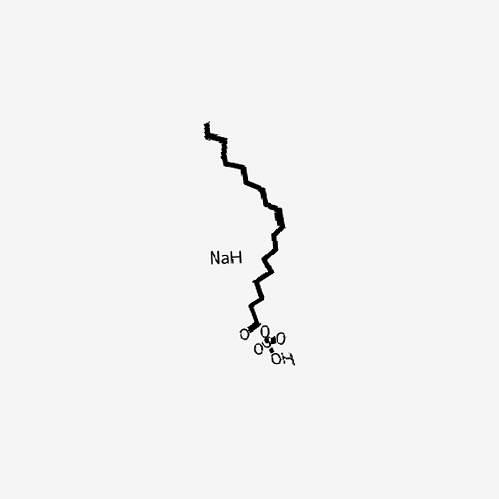 CCCCCCCC/C=C\CCCCCCCC(=O)OS(=O)(=O)O.[NaH]